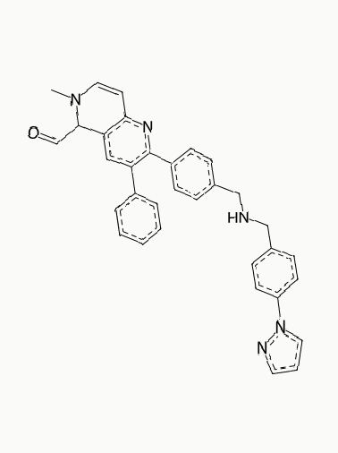 CN1C=Cc2nc(-c3ccc(CNCc4ccc(-n5cccn5)cc4)cc3)c(-c3ccccc3)cc2C1C=O